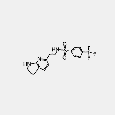 O=S(=O)(NCCc1ccc2c(n1)NCCC2)c1ccc(C(F)(F)F)cc1